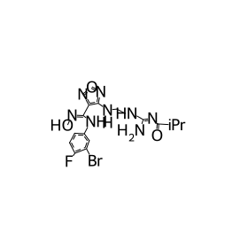 CC(C)C(=O)/N=C(\N)NCCNc1nonc1/C(=N/O)Nc1ccc(F)c(Br)c1